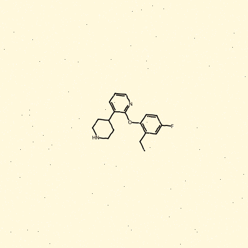 CCc1cc(F)ccc1Oc1ncccc1C1CCNCC1